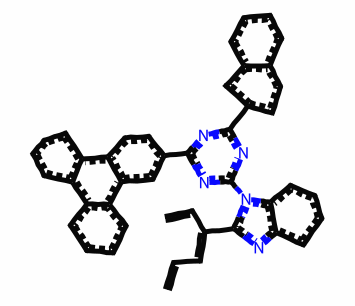 C=C/C=C(\C=C)c1nc2ccccc2n1-c1nc(-c2ccc3ccccc3c2)nc(-c2ccc3c4ccccc4c4ccccc4c3c2)n1